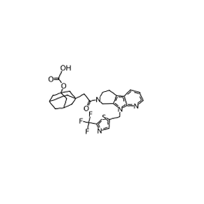 O=C(O)OC12CC3CC(CC(CC(=O)N4CCc5c(n(Cc6cnc(C(F)(F)F)s6)c6ncccc56)C4)(C3)C1)C2